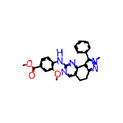 COC(=O)c1ccc(Nc2ncc3c(n2)-c2c(nn(C)c2-c2ccccc2)CC3)c(OC)c1